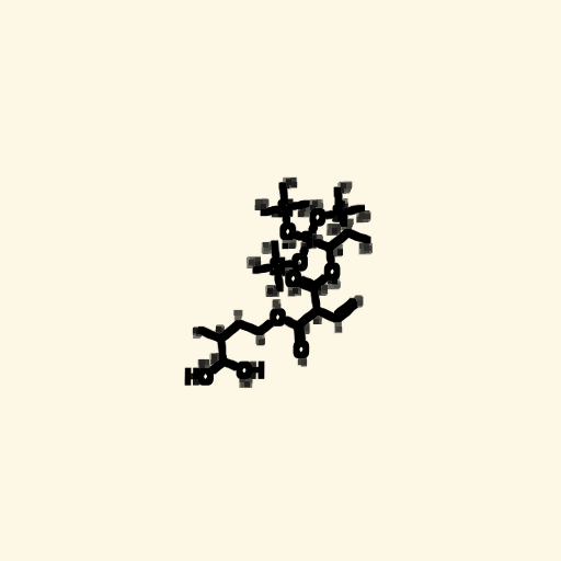 C=CC(C(=O)OCCC(C)C(O)O)C(=O)OC(CC)[Si](O[Si](C)(C)C)(O[Si](C)(C)C)O[Si](C)(C)C